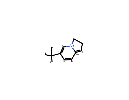 CC(C)(C)C1=CN2CCC=C2C=C1